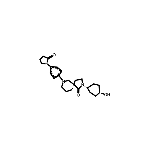 O=C1CCCN1c1ccc(N2CCC[C@@]3(CCN([C@H]4CC[C@H](O)CC4)C3=O)C2)cc1